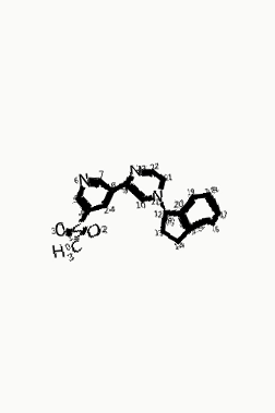 CS(=O)(=O)c1cncc(C2=CN([C@@H]3CCc4ccccc43)CC=N2)c1